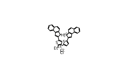 CCc1ccc(C2=Cc3c(ccc4ccccc34)[CH]2[Hf+2][CH]2C(c3ccc(CC)s3)=Cc3c2ccc2ccccc32)s1.[Cl-].[Cl-]